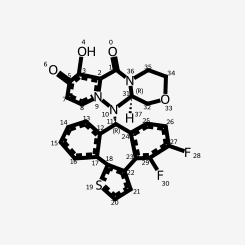 O=C1c2c(O)c(=O)ccn2N([C@H]2c3ccccc3-c3sccc3-c3c2ccc(F)c3F)[C@@H]2COCCN12